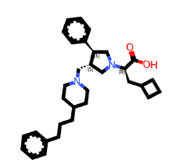 O=C(O)[C@@H](CC1CCC1)N1C[C@H](CN2CCC(CCCc3ccccc3)CC2)[C@@H](c2ccccc2)C1